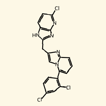 Clc1ccc(-c2cccc3nc(Cc4nc5nc(Cl)ccc5[nH]4)cn23)c(Cl)c1